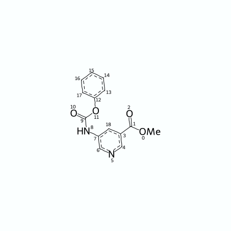 COC(=O)c1cncc(NC(=O)Oc2ccccc2)c1